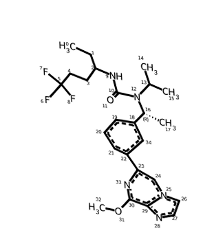 CCC(CCC(F)(F)F)NC(=O)N(C(C)C)[C@H](C)c1cccc(-c2cn3ccnc3c(OC)n2)c1